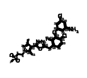 Cc1nn(CCS(C)(=O)=O)c(C)c1-c1nnc(Cc2ccc(Cl)c(Oc3cc(N)cc(Cl)c3)c2F)o1